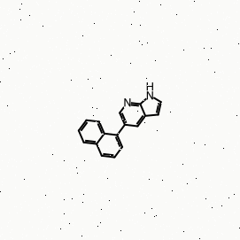 c1ccc2c(-c3cnc4[nH]ccc4c3)cccc2c1